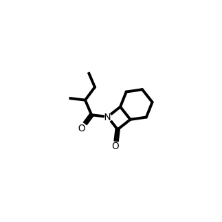 CCC(C)C(=O)N1C(=O)C2CCCCC21